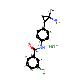 CCC1(N)CC1c1ccc(NC(=O)c2cccc(Cl)c2)cc1.Cl